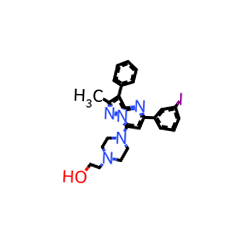 Cc1nn2c(N3CCN(CCO)CC3)cc(-c3cccc(I)c3)nc2c1-c1ccccc1